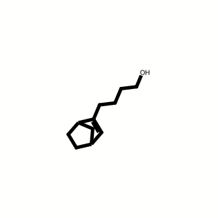 OCCCCC1=CC2CCC1C2